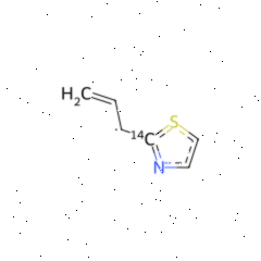 C=C[CH][14c]1nccs1